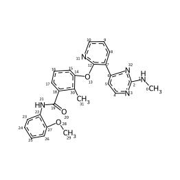 CNc1nccc(-c2cccnc2Oc2cccc(C(=O)Nc3ccccc3OC)c2C)n1